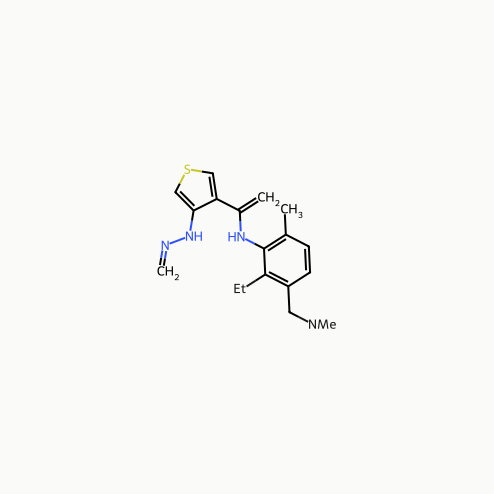 C=NNc1cscc1C(=C)Nc1c(C)ccc(CNC)c1CC